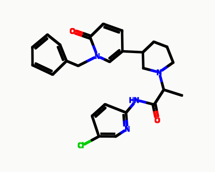 CC(C(=O)Nc1ccc(Cl)cn1)N1CCCC(c2ccc(=O)n(Cc3ccccc3)c2)C1